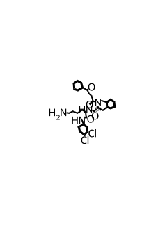 NCCCCC(NC(=O)[C@@H]1Cc2ccccc2CN1C(=O)CCC(=O)c1ccccc1)C(=O)Nc1ccc(Cl)c(Cl)c1